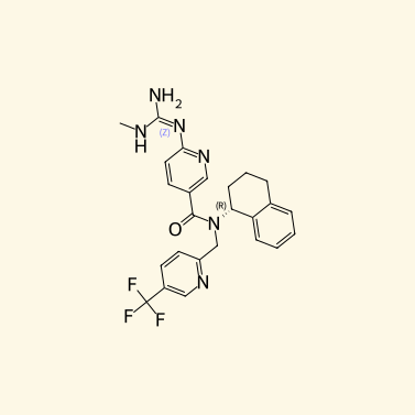 CN/C(N)=N\c1ccc(C(=O)N(Cc2ccc(C(F)(F)F)cn2)[C@@H]2CCCc3ccccc32)cn1